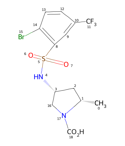 C[C@H]1C[C@@H](NS(=O)(=O)c2cc(C(F)(F)F)ccc2Br)CN1C(=O)O